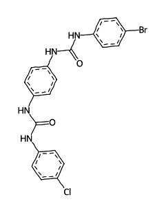 O=C(Nc1ccc(Cl)cc1)Nc1ccc(NC(=O)Nc2ccc(Br)cc2)cc1